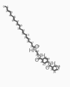 CCC=CCC=CCC=CCC=CCC=CCCCC(=O)NCCNC(=O)c1ccc(NC(=O)c2cccnc2)cc1